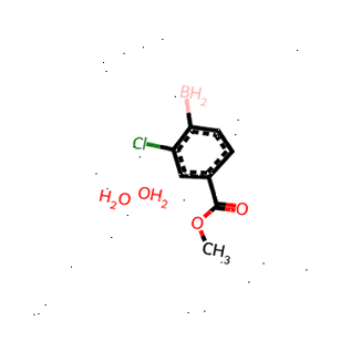 Bc1ccc(C(=O)OC)cc1Cl.O.O